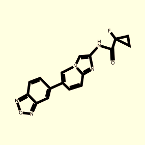 O=C(Nc1cn2cc(-c3ccc4nonc4c3)ccc2n1)C1(F)CC1